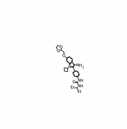 CCC(CC)NC(=O)Nc1ccc(-c2c(N)c3ccc(OCC4OCCO4)cc3n2C2CCC2)cc1